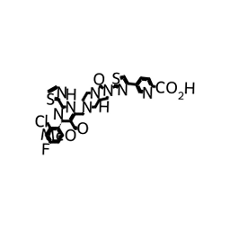 COC(=O)C1=C(CN2CCN3C(=O)N(c4nc(-c5ccc(C(=O)O)nc5)cs4)C[C@@H]3C2)NC(c2nccs2)=N[C@H]1c1ccc(F)cc1Cl